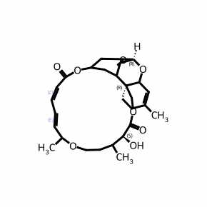 CC1=CC2O[C@@H]3CC4CC(C35CO5)[C@]2(CC1)COC(=O)[C@@H](O)C(C)CCOC(C)/C=C/C=C\C(=O)O4